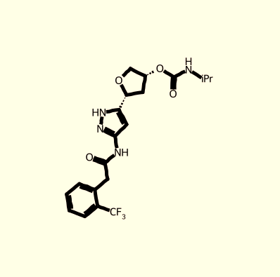 CC(C)NC(=O)O[C@H]1CO[C@@H](c2cc(NC(=O)Cc3ccccc3C(F)(F)F)n[nH]2)C1